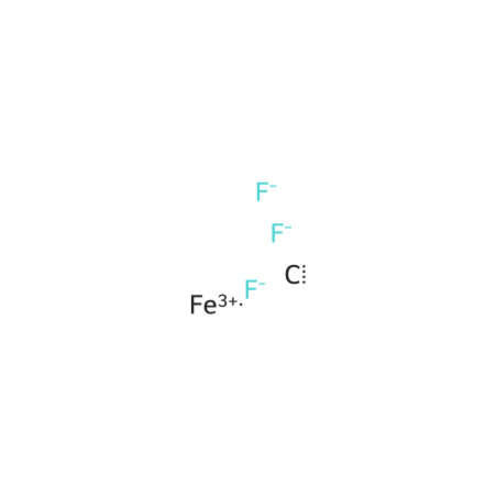 [C].[F-].[F-].[F-].[Fe+3]